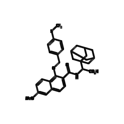 COc1ccc2c(OCc3ccc(SC(F)(F)F)cc3)c(C(=O)NC(C(=O)O)C34CC5CC(CC(C5)C3)C4)ccc2c1